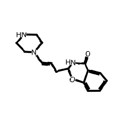 O=C1NC(CC=CN2CCNCC2)Oc2ccccc21